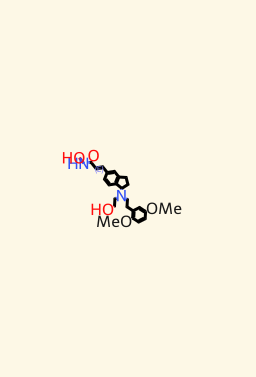 COc1ccc(OC)c(CCN(CCO)C2CCc3cc(/C=C/C(=O)NO)ccc32)c1